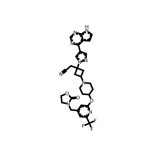 N#CCC1(n2cc(-c3ncnc4[nH]ccc34)cn2)CC(N2CCC(Oc3cc(CN4CCOC4=O)cc(C(F)(F)F)n3)CC2)C1